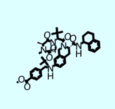 COC(=O)c1ccc(CNc2ccc3c(c2)CN(C(=O)[C@@H](NC(=O)[C@H](C)N(C)C(=O)OC(C)(C)C)C(C)(C)C)[C@H](C(=O)NC2CCCc4ccccc42)C3)cc1